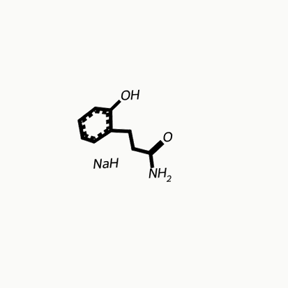 NC(=O)CCc1ccccc1O.[NaH]